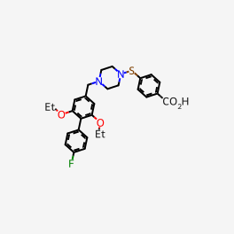 CCOc1cc(CN2CCN(Sc3ccc(C(=O)O)cc3)CC2)cc(OCC)c1-c1ccc(F)cc1